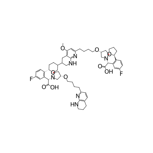 COc1cc(CCCCO[C@@H]2CCN([C@@H](C(=O)O)c3cc(F)ccc3[C@@H]3CCCO3)C2)nc2c1CC(C1CC[C@@H](c3ccc(F)cc3[C@@H](C(=O)O)N3CC[C@H](OCCCCc4ccc5c(n4)NCCC5)C3)OC1)CN2